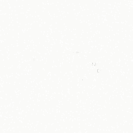 CCNC(=O)C(O)c1cccc(C)c1